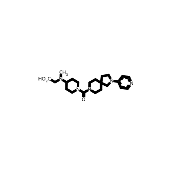 CN(CC(=O)O)C1CCN(C(=O)N2CCC3(CC2)CCN(c2ccncc2)C3)CC1